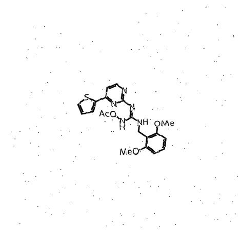 COc1cccc(OC)c1CNC(=Nc1nccc(-c2cccs2)n1)NOC(C)=O